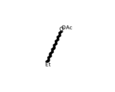 CCC=CCC=CCC=CCCCCCCCCOOC(C)=O